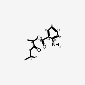 CC(C)CC(=O)C(C)OC(=O)c1ccccc1N